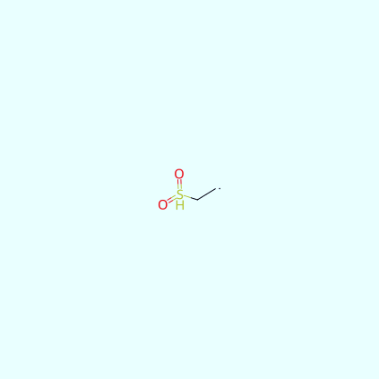 [CH2]C[SH](=O)=O